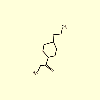 CCCC1CCC(C(=O)CC)CC1